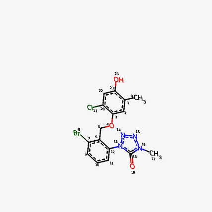 Cc1cc(OCc2c(Br)cccc2-n2nnn(C)c2=O)c(Cl)cc1O